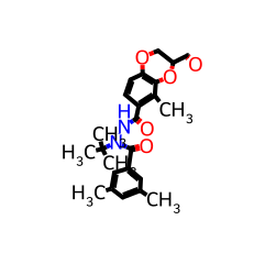 Cc1cc(C)cc(C(=O)N(NC(=O)c2ccc3c(c2C)OC(C=O)CO3)C(C)(C)C)c1